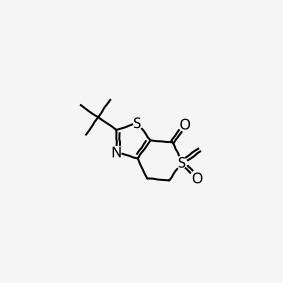 C=S1(=O)CCc2nc(C(C)(C)C)sc2C1=O